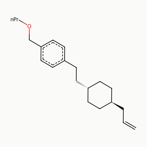 C=CC[C@H]1CC[C@H](CCc2ccc(COCCC)cc2)CC1